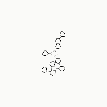 c1ccc(-c2ccc3cc(-c4nc(-c5ccccc5)nc(-c5ccc(-c6ccccc6-n6c7ccccc7c7c(-c8ccccc8)cccc76)cc5)n4)ccc3c2)cc1